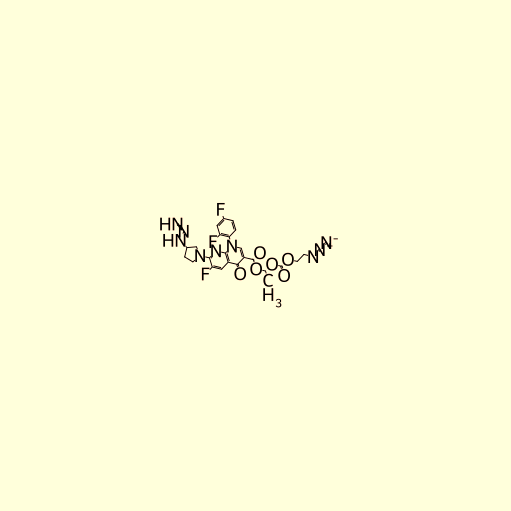 CC(OC(=O)OCCN=[N+]=[N-])OC(=O)c1cn(-c2ccc(F)cc2F)c2nc(N3CCC(NN=N)C3)c(F)cc2c1=O